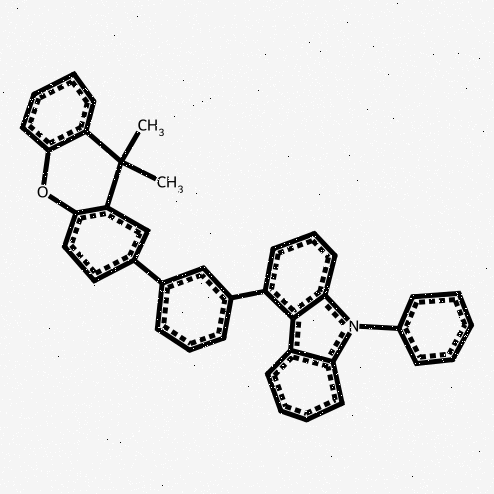 CC1(C)c2ccccc2Oc2ccc(-c3cccc(-c4cccc5c4c4ccccc4n5-c4ccccc4)c3)cc21